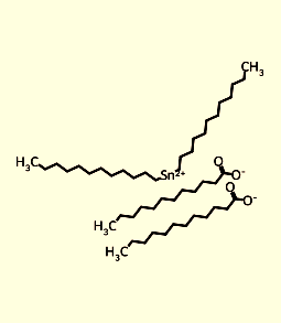 CCCCCCCCCCCC(=O)[O-].CCCCCCCCCCCC(=O)[O-].CCCCCCCCCCC[CH2][Sn+2][CH2]CCCCCCCCCCC